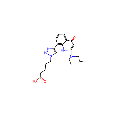 CCCN(CC)c1cc(=O)c2cccc(-c3cn(CCCCC(=O)O)nn3)c2[nH]1